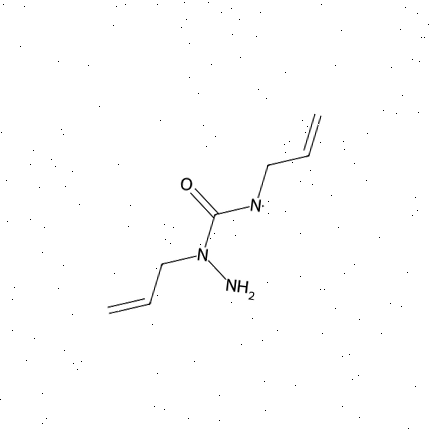 C=CC[N]C(=O)N(N)CC=C